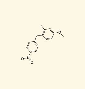 COc1ccc(Cc2ccc([N+](=O)[O-])cc2)c(C)c1